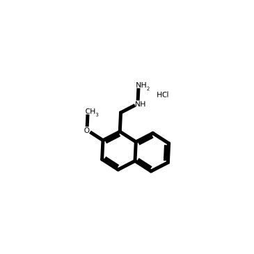 COc1ccc2ccccc2c1CNN.Cl